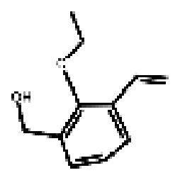 C=Cc1cccc([CH]O)c1OCC